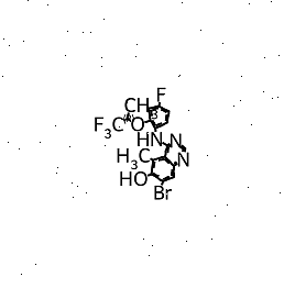 Cc1c(O)c(Br)cc2ncnc(Nc3ccc(F)cc3O[C@H](C)C(F)(F)F)c12